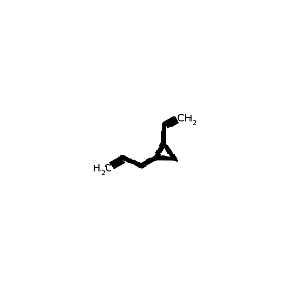 C=CCC1CC1C=C